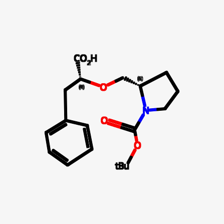 CC(C)(C)OC(=O)N1CCC[C@H]1CO[C@H](Cc1ccccc1)C(=O)O